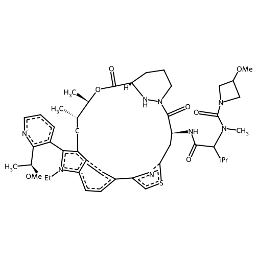 CCn1c(-c2cccnc2[C@H](C)OC)c2c3cc(ccc31)-c1csc(n1)C[C@H](NC(=O)C(C(C)C)N(C)C(=O)N1CC(OC)C1)C(=O)N1CCC[C@H](N1)C(=O)O[C@H](C)[C@@H](C)C2